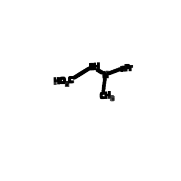 CCCN(C)BC(=O)O